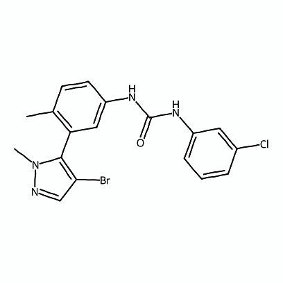 Cc1ccc(NC(=O)Nc2cccc(Cl)c2)cc1-c1c(Br)cnn1C